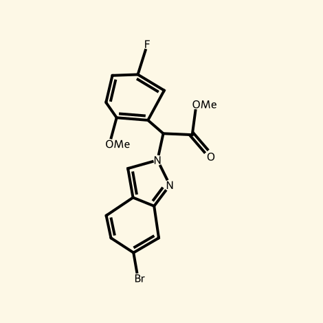 COC(=O)C(c1cc(F)ccc1OC)n1cc2ccc(Br)cc2n1